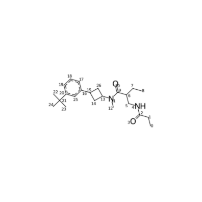 CCC(=O)NCC(CC)C(=O)N(C)C1CC(c2cccc(C(C)(C)C)c2)C1